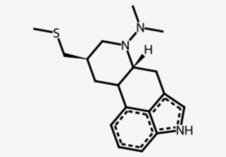 CSC[C@@H]1CC2c3cccc4[nH]cc(c34)C[C@H]2N(N(C)C)C1